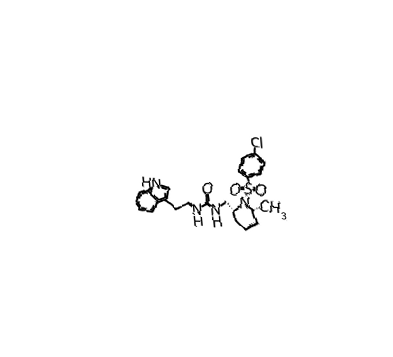 C[C@@H]1CCC[C@H](CNC(=O)NCCc2c[nH]c3ccccc23)N1S(=O)(=O)c1ccc(Cl)cc1